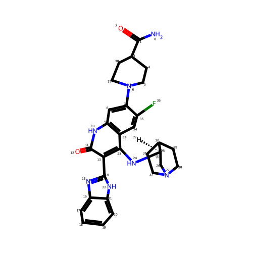 NC(=O)C1CCN(c2cc3[nH]c(=O)c(-c4nc5ccccc5[nH]4)c(N[C@@H]4CN5CCC4CC5)c3cc2F)CC1